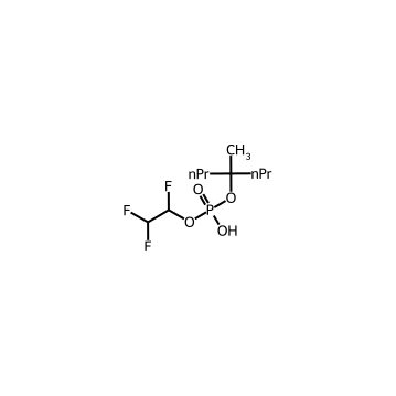 CCCC(C)(CCC)OP(=O)(O)OC(F)C(F)F